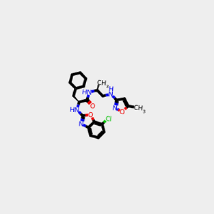 Cc1cc(NC[C@H](C)NC(=O)[C@H](CC2CCCCC2)Nc2nc3cccc(Cl)c3o2)no1